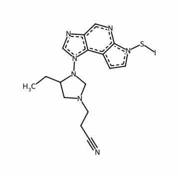 CCC1CN(CCC#N)CN1n1cnc2cnc3c(ccn3SI)c21